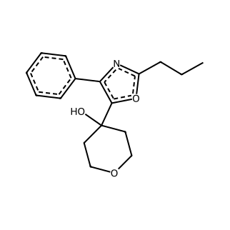 CCCc1nc(-c2ccccc2)c(C2(O)CCOCC2)o1